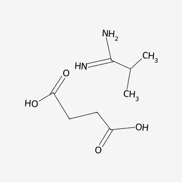 CC(C)C(=N)N.O=C(O)CCC(=O)O